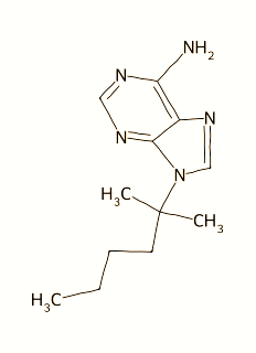 CCCCC(C)(C)n1cnc2c(N)ncnc21